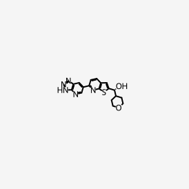 O[C@@H](c1cc2ccc(-c3cnc4[nH]nnc4c3)nc2s1)C1CCOCC1